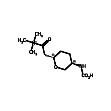 C[N+](C)(C)C(=O)C[C@@H]1CC[C@@H](NC(=O)O)CO1